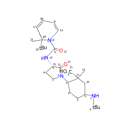 CC(C)(C)NC1CCC(N2CC[C@H](NC(=O)N3C=CC=CC3(C)C(C)(C)C)C2=O)C(C)(C(=O)O)C1